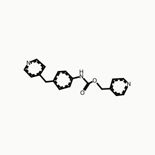 O=C(Nc1ccc(Cc2ccncc2)cc1)OCc1ccncc1